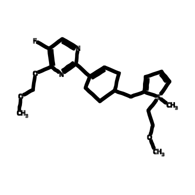 COCCS1(C)C=CC=C1CC1CC=C(c2ncc(F)c(OCOC)n2)CC1